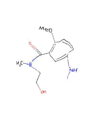 COc1ccc(NI)cc1C(=O)N(C)CCO